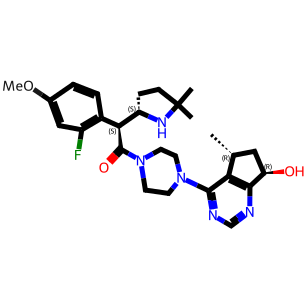 COc1ccc([C@H](C(=O)N2CCN(c3ncnc4c3[C@H](C)C[C@H]4O)CC2)[C@@H]2CCC(C)(C)N2)c(F)c1